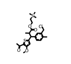 COc1cc(C(c2ccc(C)c(CCl)c2)C(C)C(=O)OCC[Si](C)(C)C)sc1C(C)=O